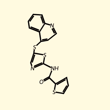 O=C(Nc1ncc(Sc2ccnc3ccccc23)s1)c1cccs1